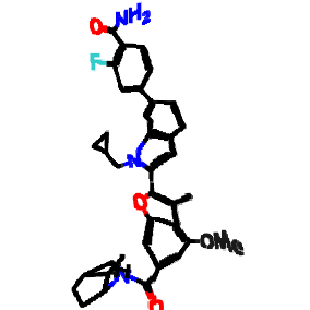 COc1cc(C(=O)N2CC3CCC2[C@@H]3C)cc2oc(-c3cc4ccc(-c5ccc(C(N)=O)c(F)c5)cc4n3CC3CC3)c(C)c12